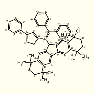 CC1(C)CCC(C)(C)c2cc3c(cc21)-c1cc2c(cc1[CH]3[Zr]([C]1=CC(c3ccccc3)=CC1)=[C](c1ccccc1)c1ccccc1)C(C)(C)CCC2(C)C